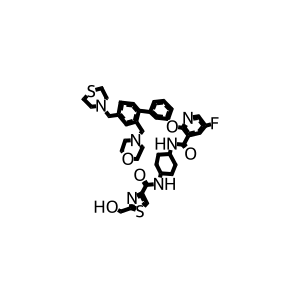 O=C(NC1CCC(NC(=O)c2cc(F)cnc2Oc2cccc(-c3ccc(CN4CCSCC4)cc3CN3CCOCC3)c2)CC1)c1csc(CO)n1